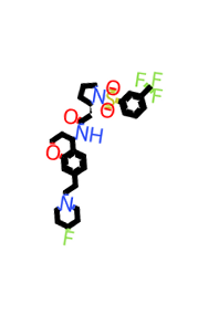 O=C(C[C@@H]1CCCN1S(=O)(=O)c1cccc(C(F)(F)F)c1)N[C@@H]1CCOc2cc(CCN3CCC(F)CC3)ccc21